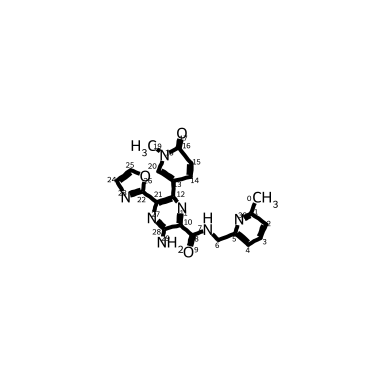 Cc1cccc(CNC(=O)c2nc(-c3ccc(=O)n(C)c3)c(-c3ncco3)nc2N)n1